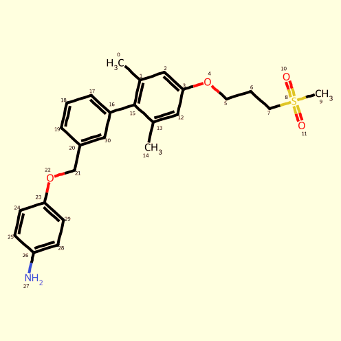 Cc1cc(OCCCS(C)(=O)=O)cc(C)c1-c1cccc(COc2ccc(N)cc2)c1